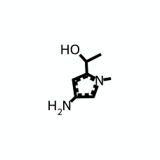 CC(O)c1cc(N)cn1C